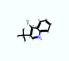 CC(C)(C)c1cnc2ccccc2c1F